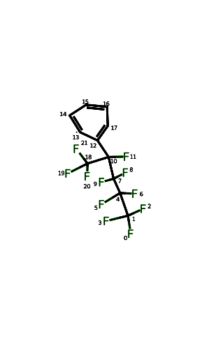 FC(F)(F)C(F)(F)C(F)(F)C(F)(c1[c]cccc1)C(F)(F)F